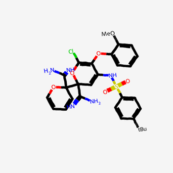 COc1ccccc1OC1=C(Cl)OC(C(=N)N)(C2(C(=N)N)C=CC=CO2)C=C1NS(=O)(=O)c1ccc(C(C)(C)C)cc1